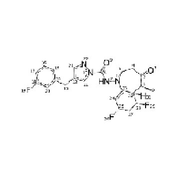 C[C@@H]1C(=O)CCN(NC(=O)n2cc(Cc3cccc(F)c3)cn2)C2=C[C@@H](F)C[C@H](F)[C@H]21